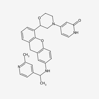 Cc1cc(C(C)Nc2ccc3c(c2)Cc2cccc(C4CN(c5cc[nH]c(=O)c5)CCO4)c2O3)ccn1